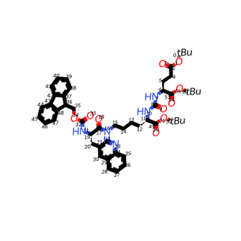 CC(C)(C)OC(=O)CC[C@H](NC(=O)N[C@@H](CCCCNC(=O)[C@H](Cc1cnc2ccccc2c1)NC(=O)OCC1c2ccccc2-c2ccccc21)C(=O)OC(C)(C)C)C(=O)OC(C)(C)C